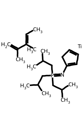 C=C(C)C(C)=CC.CC(C)CP(CC(C)C)(CC(C)C)=NC1=CC=CC1.[Ti]